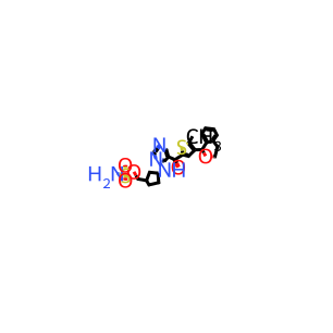 Cc1sc(C(=O)c2cncnc2NC2CCC(COS(N)(=O)=O)C2)cc1C1OCCc2ccccc21